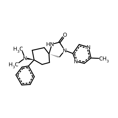 Cc1cnc(N2C[C@]3(CC[C@](c4ccccc4)(N(C)C)CC3)NC2=O)cn1